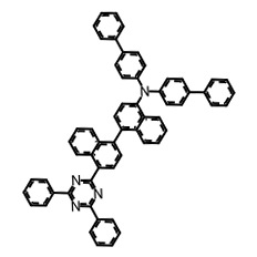 c1ccc(-c2ccc(N(c3ccc(-c4ccccc4)cc3)c3ccc(-c4ccc(-c5nc(-c6ccccc6)nc(-c6ccccc6)n5)c5ccccc45)c4ccccc34)cc2)cc1